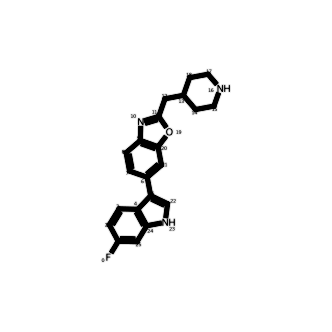 Fc1ccc2c(-c3ccc4nc(CC5CCNCC5)oc4c3)c[nH]c2c1